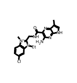 CCn1c(CNC(=O)c2nc3c(C)c[nH]c3nc2N)[n+](C)c2ccc(Cl)cc21